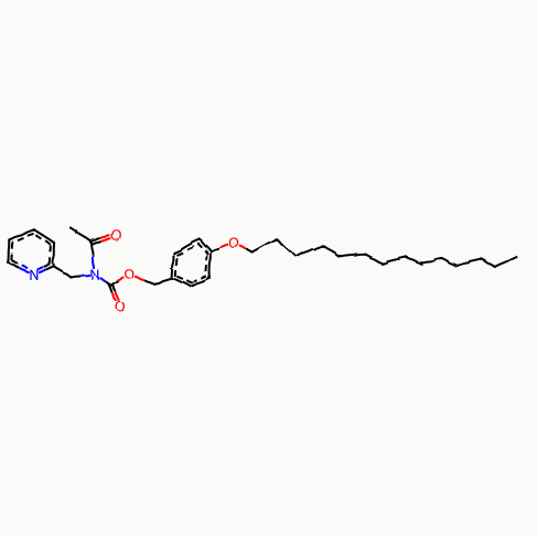 CCCCCCCCCCCCCCOc1ccc(COC(=O)N(Cc2ccccn2)C(C)=O)cc1